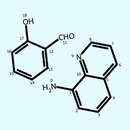 Nc1cccc2cccnc12.O=Cc1ccccc1O